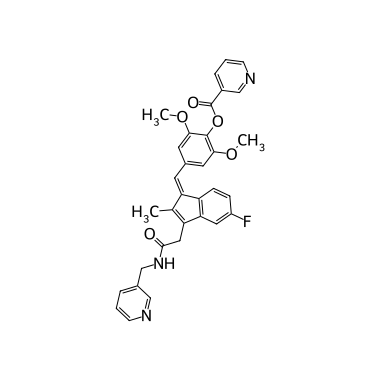 COc1cc(/C=C2/C(C)=C(CC(=O)NCc3cccnc3)c3cc(F)ccc32)cc(OC)c1OC(=O)c1cccnc1